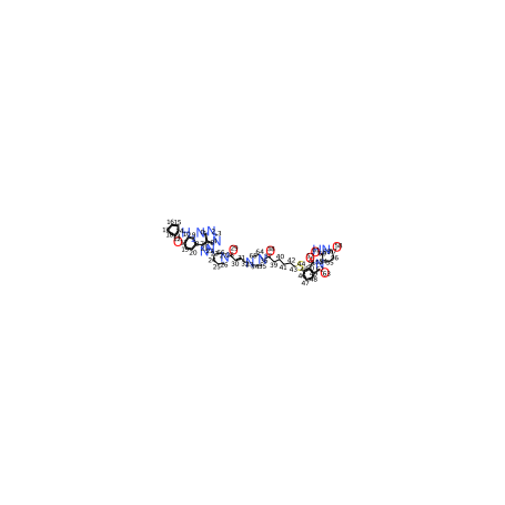 Nc1ncnc2c1c(-c1ccc(Oc3ccccc3)cc1)nn2C1CCCN(C(=O)/C=C/CN2CCN(C(=O)CCCCCSc3cccc4c3C(=O)N(C3CCC(=O)NC3=O)C4=O)CC2)C1